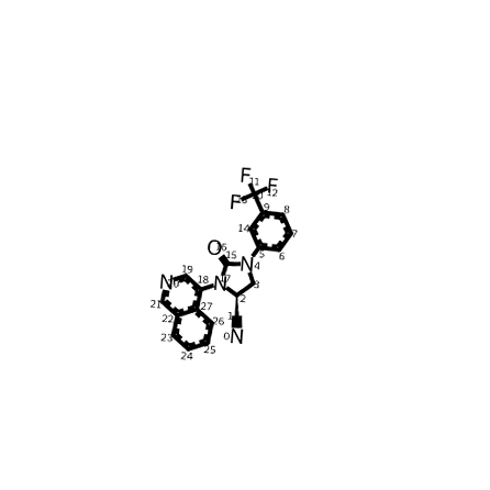 N#C[C@@H]1CN(c2cccc(C(F)(F)F)c2)C(=O)N1c1cncc2ccccc12